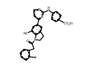 CCOC(=O)c1ccc(Nc2nccc(-c3cc(C#N)c4c(c3)CCN4C(=O)Cc3ccccc3F)n2)cc1